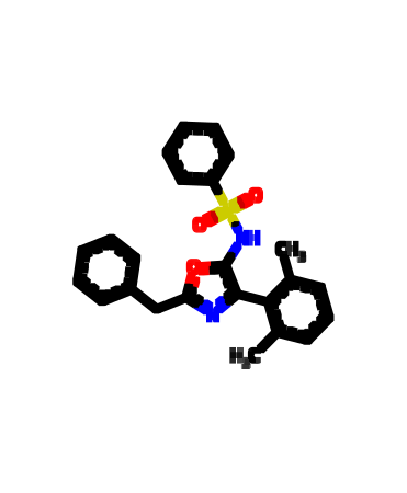 Cc1cccc(C)c1-c1nc(Cc2ccccc2)oc1NS(=O)(=O)c1ccccc1